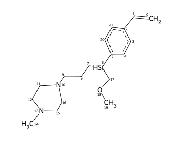 C=Cc1ccc([SiH](CCCN2CCN(C)CC2)COC)cc1